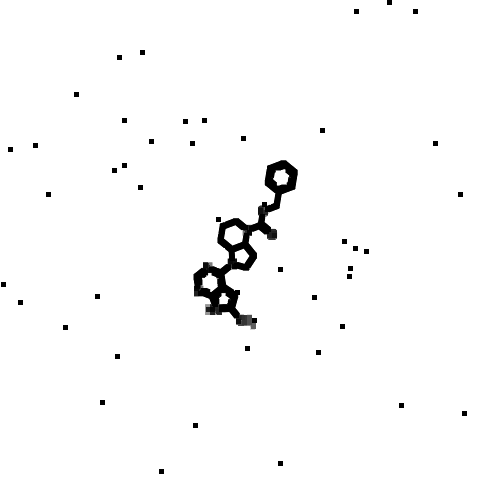 Cc1cc2c(N3CCC4C3CCCN4C(=O)OCc3ccccc3)ncnc2[nH]1